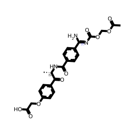 CC(=O)OCOC(=O)/N=C(\N)c1ccc(C(=O)N[C@@H](C)C(=O)c2ccc(OCC(=O)O)cc2)cc1